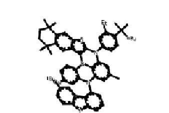 CCCCC(C)(C)c1ccc(N2c3cc(C)cc4c3B(c3ccc(C(C)(C)C)cc3N4c3cccc4sc5ccc(C(C)(C)C)cc5c34)c3c2sc2cc4c(cc32)C(C)(C)CCC4(C)C)cc1CC